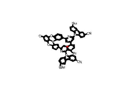 CC(C)c1ccc(-c2cc(-c3ccc4c(c3)B3c5cc(-c6cccc(-n7c8ccc(C#N)cc8c8cc(C(C)(C)C)ccc87)n6)ccc5Oc5cc(Cl)cc(c53)O4)nc(-n3c4ccc(C#N)cc4c4cc(C(C)(C)C)ccc43)c2)cc1